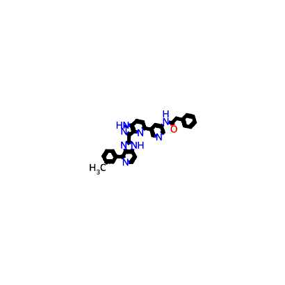 Cc1cccc(-c2nccc3[nH]c(-c4n[nH]c5ccc(-c6cncc(NC(=O)Cc7ccccc7)c6)nc45)nc23)c1